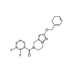 O=C(c1cccc(F)c1F)N1CCn2nc(OCC3=CC=CCC3)cc2C1